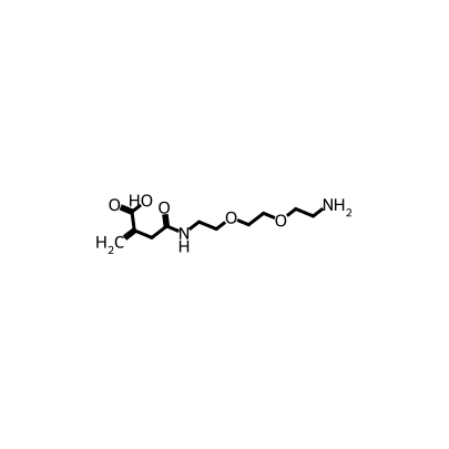 C=C(CC(=O)NCCOCCOCCN)C(=O)O